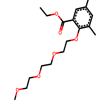 CCOC(=O)c1cc(C)cc(C)c1OCCOCCOCCOC